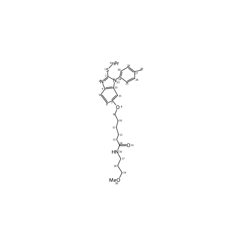 CCCSc1nc2ccc(OCCCCCC(=O)NCCCOC)cc2n1-c1ccc(C)cc1